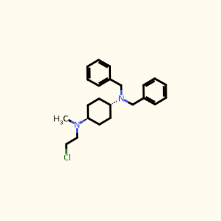 CN(CCCl)[C@H]1CC[C@H](N(Cc2ccccc2)Cc2ccccc2)CC1